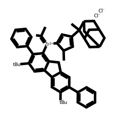 C[C](C)=[Zr+2]([C]1=CC(C2(C)C3CC4CC(C3)CC2C4)=CC1C)[c]1c2c(cc(C(C)(C)C)c1-c1ccccc1)-c1cc(C(C)(C)C)c(-c3ccccc3)cc1C2.[Cl-].[Cl-]